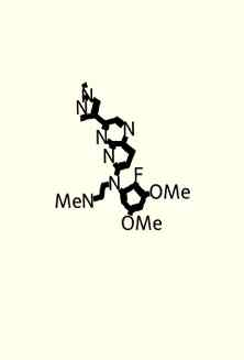 CNCCN(c1ccc2ncc(-c3cnn(C)c3)nc2n1)c1cc(OC)cc(OC)c1F